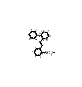 O=S(=O)(O)c1ccccc1C=Cc1ccccc1-c1ccccc1